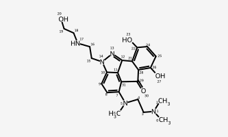 CN(C)CCN(C)c1ccc2c3c(nn2CCNCCO)-c2c(O)ccc(O)c2C(=O)c13